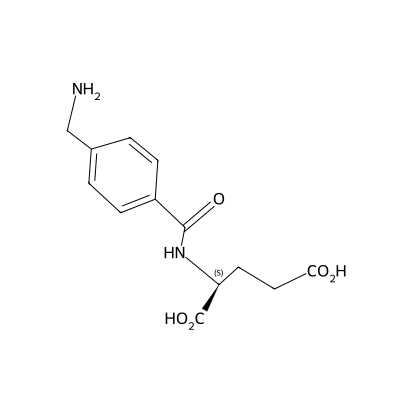 NCc1ccc(C(=O)N[C@@H](CCC(=O)O)C(=O)O)cc1